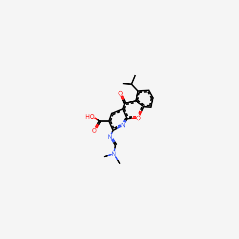 CC(C)c1cccc2oc3nc(N=CN(C)C)c(C(=O)O)cc3c(=O)c12